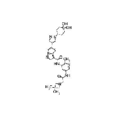 Cc1ncc(NC(=O)CN2CC(C)(C)C2)cc1NC(=O)c1cnn2cc(-c3cnn(C4CCS(O)(O)CC4)c3)sc12